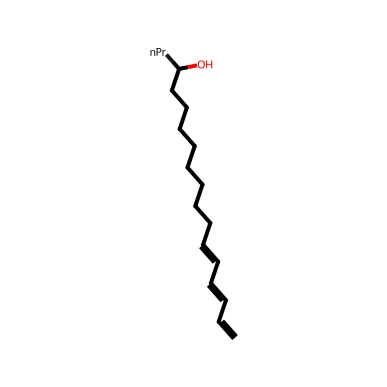 C=CC=CC=CCCCCCCCCC(O)CCC